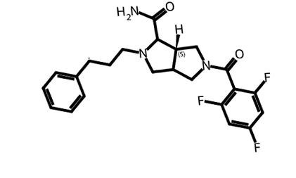 NC(=O)C1[C@@H]2CN(C(=O)c3c(F)cc(F)cc3F)CC2CN1CC[CH]c1ccccc1